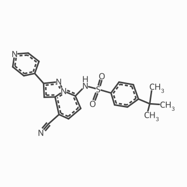 CC(C)(C)c1ccc(S(=O)(=O)Nc2ccc(C#N)c3cc(-c4ccncc4)nn23)cc1